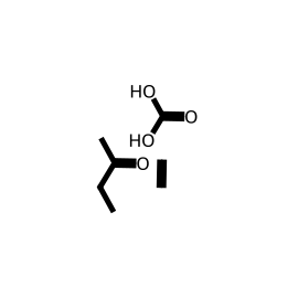 C=C.CCC(C)=O.O=C(O)O